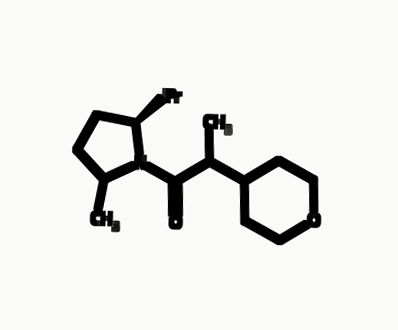 CC(C(=O)N1C(C)CC[C@H]1C(C)C)C1CCOCC1